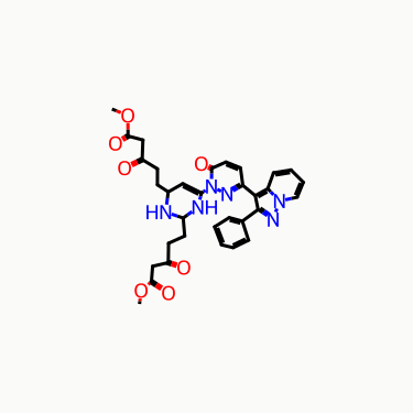 COC(=O)CC(=O)CCC1C=C(n2nc(-c3c(-c4ccccc4)nn4ccccc34)ccc2=O)NC(CCC(=O)CC(=O)OC)N1